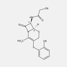 N#CCC(=O)N[C@@H]1C(=O)N2C(C(=O)O)=C(Sc3ccccc3C#N)CS[C@H]12